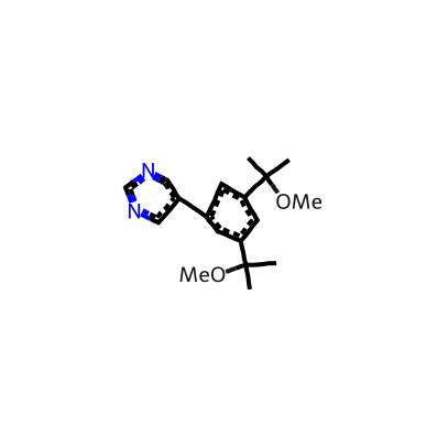 COC(C)(C)c1cc(-c2cncnc2)cc(C(C)(C)OC)c1